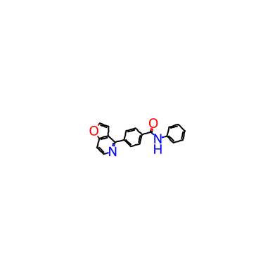 O=C(Nc1ccccc1)c1ccc(-c2nccc3occc23)cc1